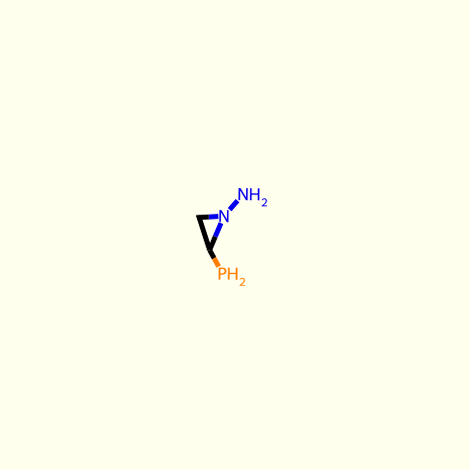 NN1CC1P